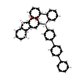 c1ccc(-c2ccc(-c3ccc(N(c4ccc5oc6cccnc6c5c4)c4ccccc4-c4ccccc4)cc3)cc2)cc1